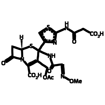 CON=CC(=O)NC1(c2csc(NC(=O)CC(=O)O)n2)S[C@@H]2CC(=O)N2C(C(=O)O)=C1COC(C)=O